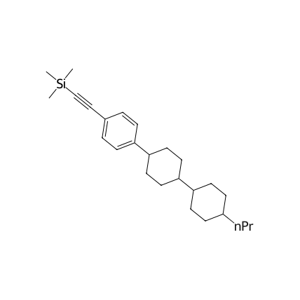 CCCC1CCC(C2CCC(c3ccc(C#C[Si](C)(C)C)cc3)CC2)CC1